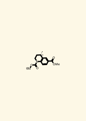 COC(=O)c1ccc2c(c1)[C@@H](C)CCN2C(=O)OC(C)(C)C